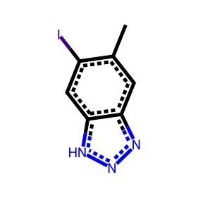 Cc1cc2nn[nH]c2cc1I